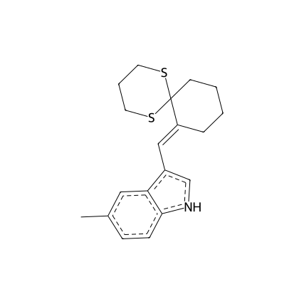 Cc1ccc2[nH]cc(/C=C3\CCCCC34SCCCS4)c2c1